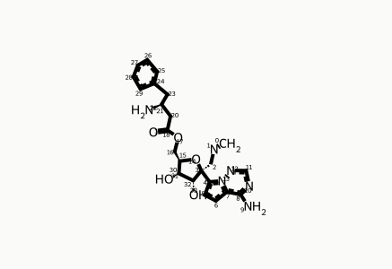 C=NC[C@@]1(c2ccc3c(N)ncnn23)O[C@H](COC(=O)C[C@@H](N)Cc2ccccc2)[C@@H](O)[C@H]1O